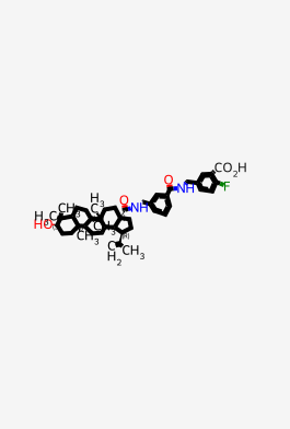 C=C(C)[C@@H]1CC[C@]2(C(=O)NCc3cccc(C(=O)NCc4ccc(F)c(C(=O)O)c4)c3)CC[C@]3(C)C(CCC4[C@@]5(C)CC[C@H](O)C(C)(C)C5CC[C@]43C)C12